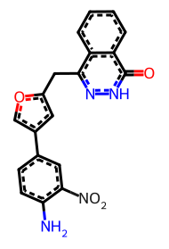 Nc1ccc(-c2coc(Cc3n[nH]c(=O)c4ccccc34)c2)cc1[N+](=O)[O-]